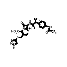 NC(C(=O)NC1C(=O)N2C(C(=O)O)=C(CSc3c[nH]nn3)CS[C@H]12)c1ccc(NC(=O)C(F)(F)F)cc1